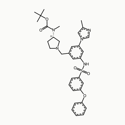 Cc1cn(-c2cc(CN3CC[C@H](N(C)C(=O)OC(C)(C)C)C3)cc(NS(=O)(=O)c3cccc(Oc4ccccc4)c3)c2)cn1